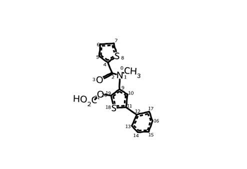 CN(C(=O)c1cccs1)c1cc(-c2ccccc2)sc1OC(=O)O